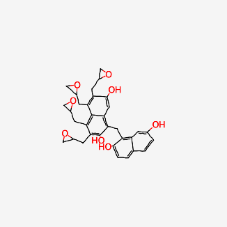 Oc1ccc2ccc(O)c(Cc3c(O)c(CC4CO4)c(CC4CO4)c4c(CC5CO5)c(CC5CO5)c(O)cc34)c2c1